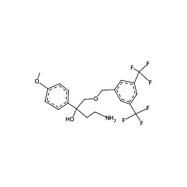 COc1ccc(C(O)(CCN)COCc2cc(C(F)(F)F)cc(C(F)(F)F)c2)cc1